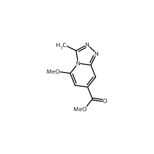 COC(=O)c1cc(OC)n2c(C)nnc2c1